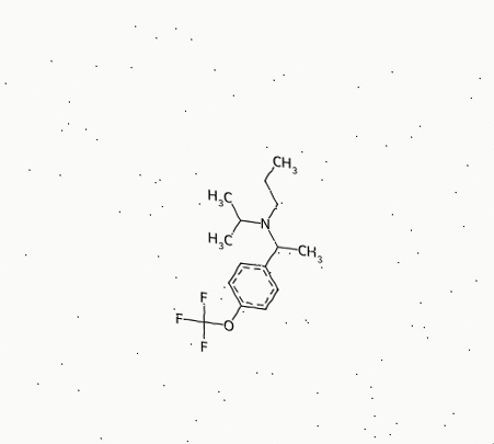 CCCN(C(C)C)C(C)c1ccc(OC(F)(F)F)cc1